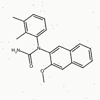 COc1cc2ccccc2cc1N(C(N)=O)c1cccc(C)c1C